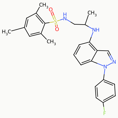 Cc1cc(C)c(S(=O)(=O)NCC(C)Nc2cccc3c2cnn3-c2ccc(F)cc2)c(C)c1